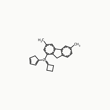 Cc1ccc2c(c1)-c1cc(C)c[c]([Zr]([C]3=CC=CC3)=[C]3CCC3)c1C2